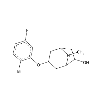 CN1C2CC(Oc3cc(F)ccc3Br)CC1C(O)C2